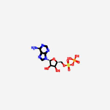 Nc1ncnc2c1ncn2[C@@H]1O[C@H](COS(=O)(=O)OP(=O)(O)O)[C@@H](O)[C@H]1O